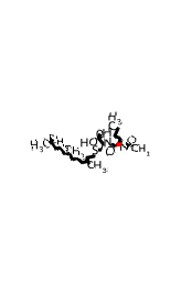 CCCC/C(=N\C(C)=O)C(=O)N[C@@H](CSC/C=C(\C)CC/C=C(\C)CCC=C(C)C)C(=O)O